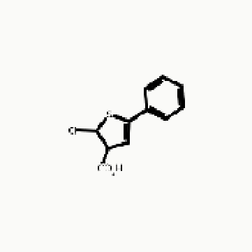 O=C(O)C1C=C(c2ccccc2)SC1Cl